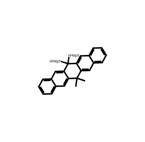 CCCCCCCC1(CCCCCCC)c2cc3c[c]ccc3cc2C(C)(C)c2cc3c[c]ccc3cc21